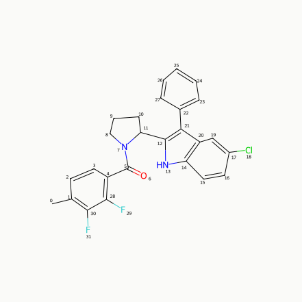 Cc1ccc(C(=O)N2CCCC2c2[nH]c3ccc(Cl)cc3c2-c2ccccc2)c(F)c1F